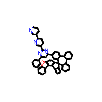 c1ccc(-c2cc(-c3ccc4c(c3)C3(c5ccccc5-c5ccccc5-4)c4ccccc4-c4c3ccc3oc5ccccc5c43)nc(-c3ccc(-c4cccnc4)nc3)n2)cc1